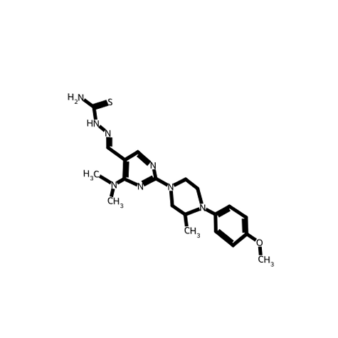 COc1ccc(N2CCN(c3ncc(C=NNC(N)=S)c(N(C)C)n3)CC2C)cc1